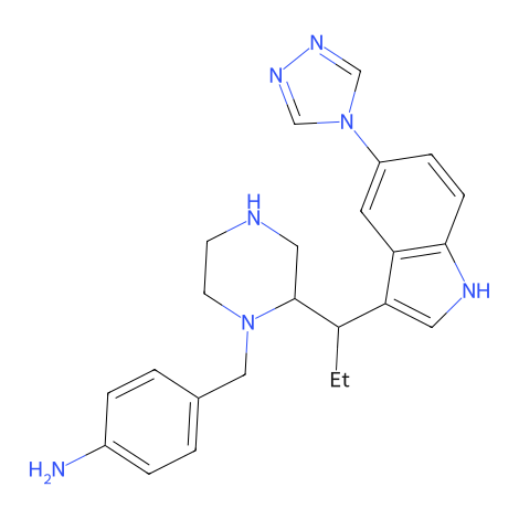 CCC(c1c[nH]c2ccc(-n3cnnc3)cc12)C1CNCCN1Cc1ccc(N)cc1